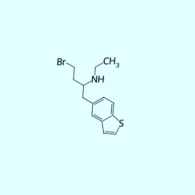 CCNC(CCBr)Cc1ccc2sccc2c1